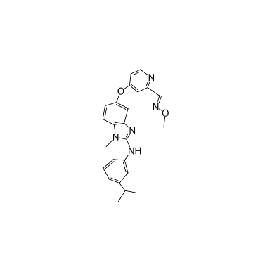 CON=Cc1cc(Oc2ccc3c(c2)nc(Nc2cccc(C(C)C)c2)n3C)ccn1